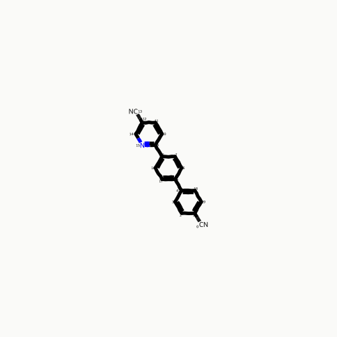 N#Cc1ccc(-c2ccc(-c3ccc(C#N)cn3)cc2)cc1